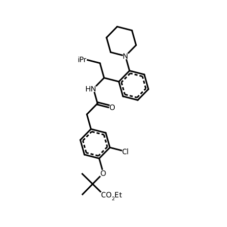 CCOC(=O)C(C)(C)Oc1ccc(CC(=O)NC(CC(C)C)c2ccccc2N2CCCCC2)cc1Cl